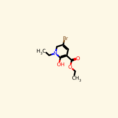 CCOC(=O)C1=C(O)N(CC)CC(Br)=C1